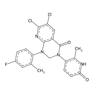 Cc1cc(F)ccc1N1CN(c2ccc(=O)[nH]c2C)C(=O)c2cc(Cl)c(Cl)nc21